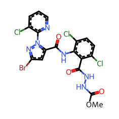 COC(=O)NNC(=O)c1c(Cl)ccc(Cl)c1NC(=O)c1cc(Br)nn1-c1ncccc1Cl